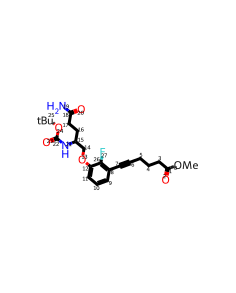 COC(=O)CCCC#Cc1cccc(OCC(CCC(N)=O)NC(=O)OC(C)(C)C)c1F